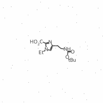 CCn1cc(CCNC(=O)OC(C)(C)C)nc1C(=O)O